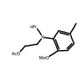 CCCN(CCOC(C)=O)c1cc(C)ccc1OC